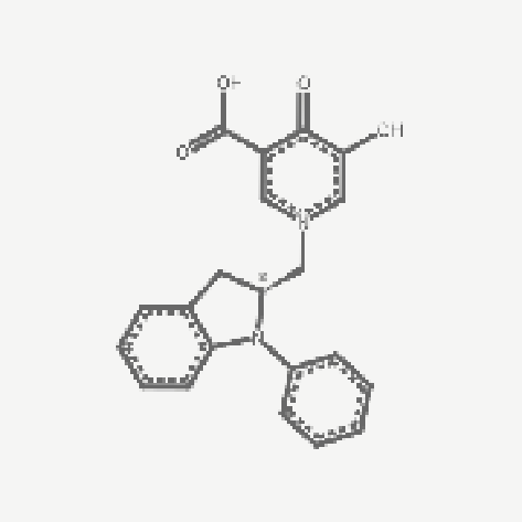 O=C(O)c1cn(C[C@@H]2Cc3ccccc3N2c2ccccc2)cc(O)c1=O